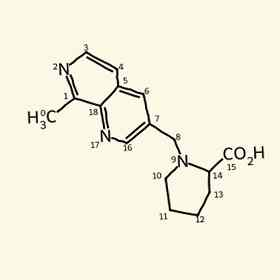 Cc1nccc2cc(CN3CCCCC3C(=O)O)cnc12